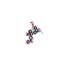 COCCOc1ccc(C(N)=O)c(-c2cc(C(CN(C(=O)OC(C)(C)C)C3CCC(C(=O)N4CCOCC4)CC3)c3ccccc3)ccc2Cl)c1F